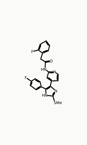 CSc1nc(-c2ccnc(NC(=O)Cc3ccccc3F)c2)c(-c2ccc(F)cc2)[nH]1